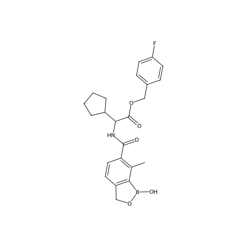 Cc1c(C(=O)NC(C(=O)OCc2ccc(F)cc2)C2CCCC2)ccc2c1B(O)OC2